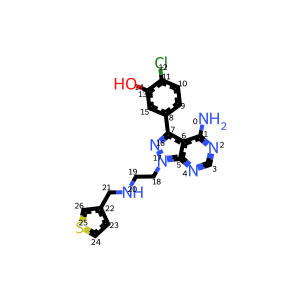 Nc1ncnc2c1c(-c1ccc(Cl)c(O)c1)nn2CCNCc1ccsc1